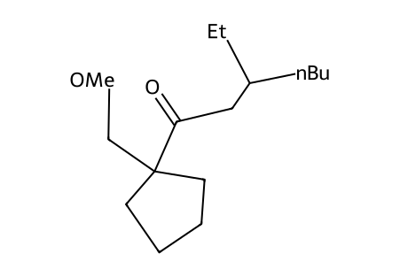 CCCCC(CC)CC(=O)C1(COC)CCCC1